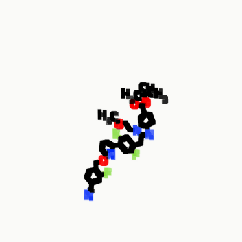 COCCn1c(Cc2cc(F)c(-c3cccc(OCc4ccc(C#N)cc4F)n3)cc2F)nc2ccc(C(=O)OC(C)(C)C)cc21